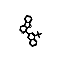 CC(C)(C)c1cc(-c2nccc3c2oc2ccccc23)cc2ccccc12